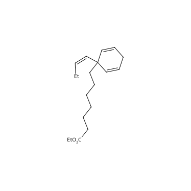 CC/C=C\C1(CCCCCCC(=O)OCC)C=CCC=C1